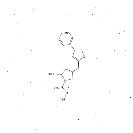 CC(C)(C)OC(=O)N1CC(Cc2cc(-c3ccccc3)cs2)CC1C(=O)O